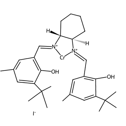 Cc1cc(C=[N+]2[Cr][N+](=Cc3cc(C)cc(C(C)(C)C)c3O)[C@@H]3CCCC[C@H]32)c(O)c(C(C)(C)C)c1.[I-]